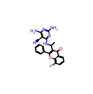 CC(Nc1nc(N)nc(N)c1C#N)c1c(-c2ccccc2)oc2c(F)cccc2c1=O